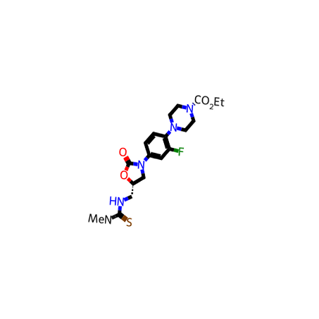 CCOC(=O)N1CCN(c2ccc(N3C[C@H](CNC(=S)NC)OC3=O)cc2F)CC1